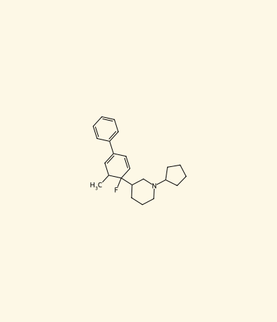 CC1C=C(c2ccccc2)C=CC1(F)C1CCCN(C2CCCC2)C1